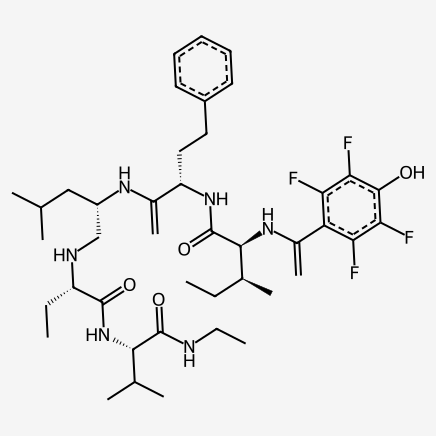 C=C(N[C@H](C(=O)N[C@@H](CCc1ccccc1)C(=C)N[C@H](CN[C@@H](CC)C(=O)N[C@H](C(=O)NCC)C(C)C)CC(C)C)[C@@H](C)CC)c1c(F)c(F)c(O)c(F)c1F